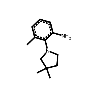 Cc1cccc(N)c1N1CCC(C)(C)C1